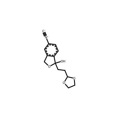 [C-]#[N+]c1ccc2c(c1)COC2(O)CCC1OCCO1